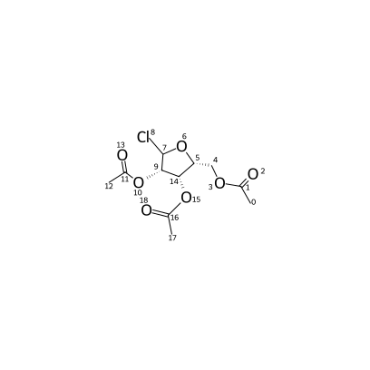 CC(=O)OC[C@H]1OC(Cl)[C@@H](OC(C)=O)[C@H]1OC(C)=O